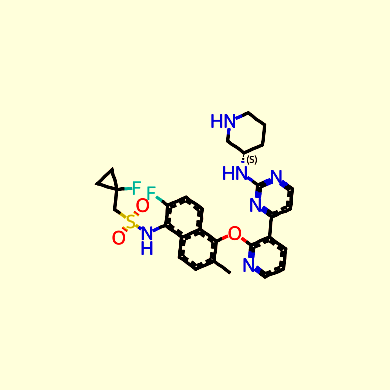 Cc1ccc2c(NS(=O)(=O)CC3(F)CC3)c(F)ccc2c1Oc1ncccc1-c1ccnc(N[C@H]2CCCNC2)n1